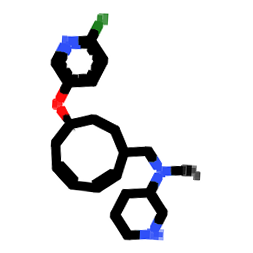 CN(CC1/C=C\C=C/C[C@@H](Oc2ccc(Cl)nc2)CC1)C1CCCNC1